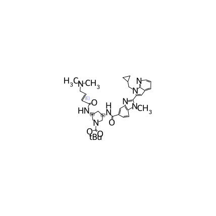 CN(C)C/C=C/C(=O)N[C@@H]1C[C@H](NC(=O)c2ccc3c(c2)nc(-c2cc4cccnc4n2CC2CC2)n3C)CN(C(=O)OC(C)(C)C)C1